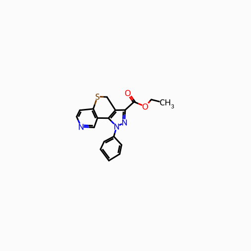 CCOC(=O)c1nn(-c2ccccc2)c2c1CSc1ccncc1-2